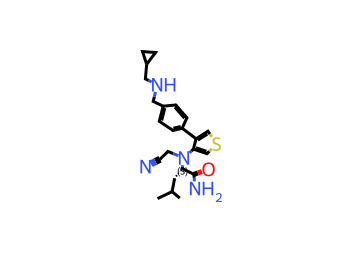 CC(C)C[C@@H](C(N)=O)N(CC#N)c1cscc1-c1ccc(CNCC2CC2)cc1